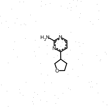 Nc1nccc(C2CCOC2)n1